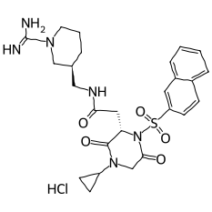 Cl.N=C(N)N1CCC[C@@H](CNC(=O)C[C@H]2C(=O)N(C3CC3)CC(=O)N2S(=O)(=O)c2ccc3ccccc3c2)C1